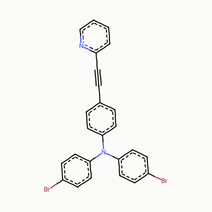 Brc1ccc(N(c2ccc(Br)cc2)c2ccc(C#Cc3ccccn3)cc2)cc1